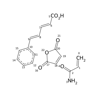 C=CC(N)=O.O=C(O)C=CC=Cc1ccccc1.O=C1C=CC(=O)O1